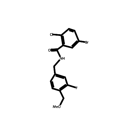 COCc1ccc(CNC(=O)c2cc(Br)ccc2Cl)cc1F